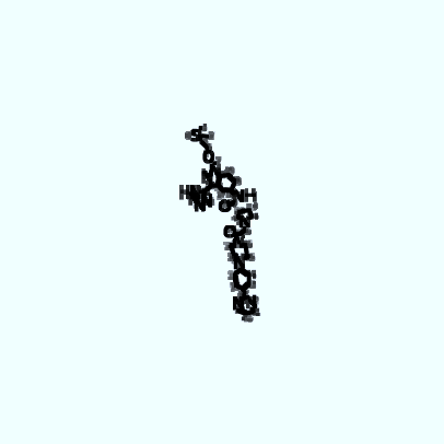 C[Si](C)(C)CCOCn1nc(-c2nnn[nH]2)c2cc(NC(=O)[C@@H]3CCN(CC(=O)N4CCN(c5ccc(-c6ncccn6)cc5)CC4)C3)ccc21